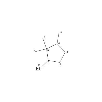 [CH2]CC1CCC(C)C1(C)C